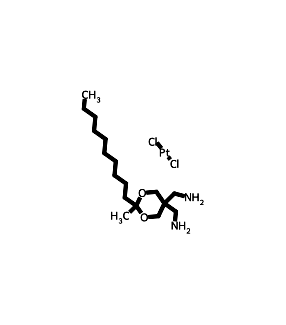 CCCCCCCCCCC1(C)OCC(CN)(CN)CO1.[Cl][Pt][Cl]